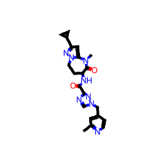 Cc1cc(Cn2cnc(C(=O)NC3CCn4nc(C5CC5)cc4N(C)C3=O)n2)ccn1